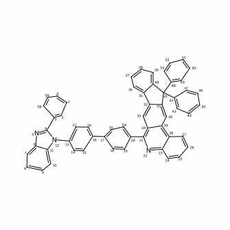 c1ccc(-c2nc3ccccc3n2-c2ccc(-c3ccc(-c4nc5ccccc5c5cc6c(cc45)-c4ccccc4C6(c4ccccc4)c4ccccc4)cc3)cc2)cc1